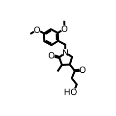 COc1ccc(CN2CC(C(=O)CCO)C(C)C2=O)c(OC)c1